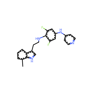 Cc1cccc2c(CCNc3c(F)cc(Nc4ccncc4)cc3F)c[nH]c12